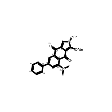 CCCn1cc2c(c1OC)C(=O)c1c(cc(-c3ccccc3)cc1N(C)C)C2=O